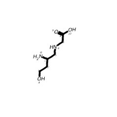 NC(CCO)CNCC(=O)O